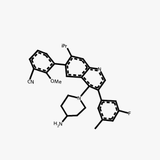 COc1c(C#N)cccc1-c1cc2c(N3CCC(N)CC3)c(-c3cc(C)cc(F)c3)cnc2cc1C(C)C